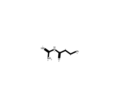 CC(C)CCC(=O)NC(=N)N